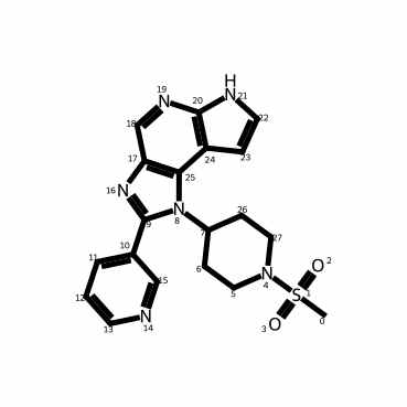 CS(=O)(=O)N1CCC(n2c(-c3cccnc3)nc3cnc4[nH]ccc4c32)CC1